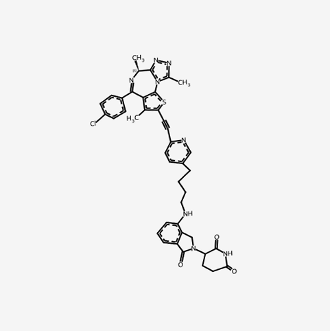 Cc1c(C#Cc2ccc(CCCCNc3cccc4c3CN(C3CCC(=O)NC3=O)C4=O)cn2)sc2c1C(c1ccc(Cl)cc1)=N[C@@H](C)c1nnc(C)n1-2